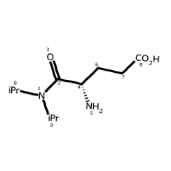 CC(C)N(C(=O)[C@@H](N)CCC(=O)O)C(C)C